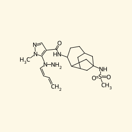 C=C/C=C\N(N)c1c(C(=O)NC2CCC3CC4CC(NS(C)(=O)=O)(C3)CC42)cnn1C